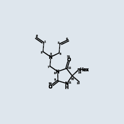 C=CCN(CC=C)CN1C(=O)NC(C)(CCCCCC)C1=O